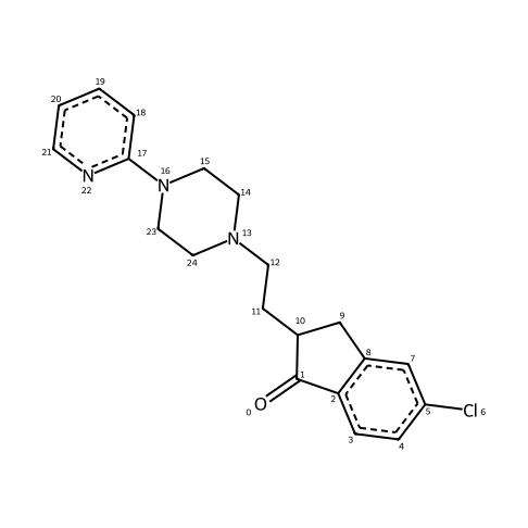 O=C1c2ccc(Cl)cc2CC1CCN1CCN(c2ccccn2)CC1